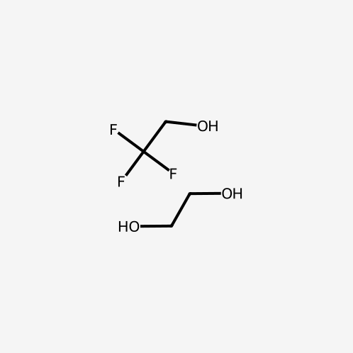 OCC(F)(F)F.OCCO